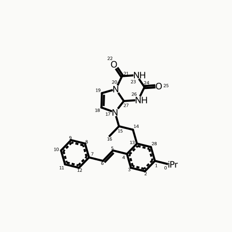 CC(C)c1ccc(/C=C/c2ccccc2)c(CC(C)N2C=CN3C(=O)NC(=O)NC32)c1